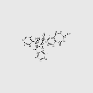 O=S(=O)(N[C@H](c1ccccc1)c1cc2ccccc2o1)c1ccc2c(c1)OCC(F)CO2